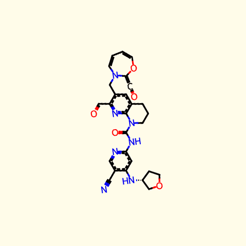 N#Cc1cnc(NC(=O)N2CCCc3cc(CN4C=CC=COC4=C=O)c(C=O)nc32)cc1N[C@@H]1CCOC1